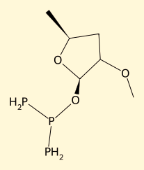 COC1C[C@H](C)O[C@@H]1OP(P)P